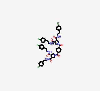 O=C(NCCc1ccc(F)cc1)C1CN(C(=O)[C@H]2CC[C@H](C(=O)N3CC(C(=O)NCCc4ccc(F)cc4)[C@H](C(=O)NCCc4ccc(F)cc4)C3)CC2)CC1C(=O)NCCc1ccc(F)cc1